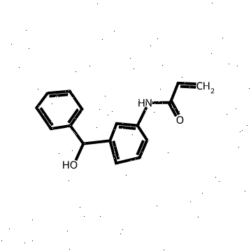 C=CC(=O)Nc1cccc(C(O)c2ccccc2)c1